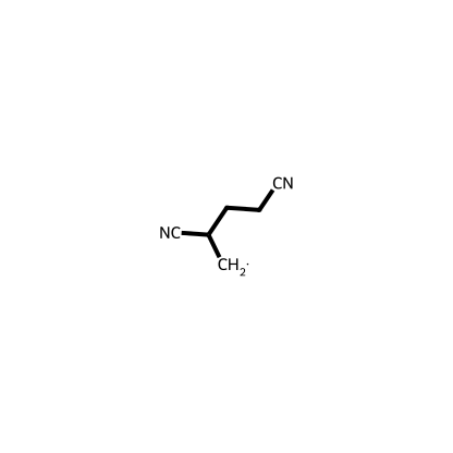 [CH2]C(C#N)CCC#N